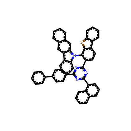 c1ccc(-c2ccc(-c3nc(-c4ccc5c(sc6ccccc65)c4-n4c5ccccc5c5cc6ccccc6cc54)nc(-c4cccc5ccccc45)n3)cc2)cc1